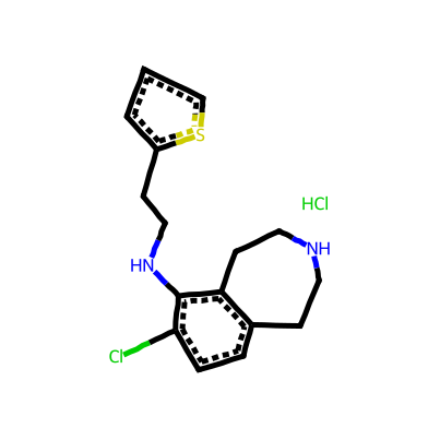 Cl.Clc1ccc2c(c1NCCc1cccs1)CCNCC2